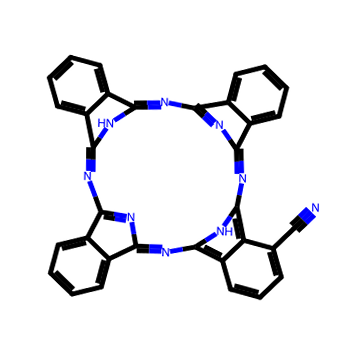 N#Cc1cccc2c3nc4nc(nc5[nH]c(nc6nc(nc([nH]3)c12)-c1ccccc1-6)c1ccccc51)-c1ccccc1-4